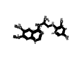 COc1cc2ncnc(NC(C)COc3ncc(Cl)cc3Cl)c2cc1OC